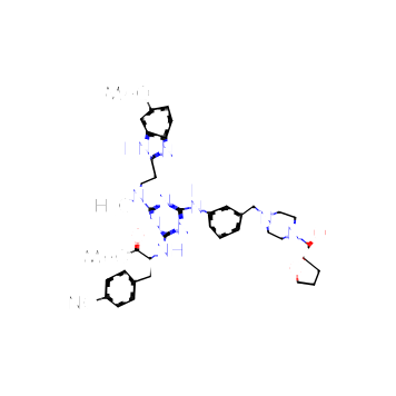 COC(=O)[C@H](Cc1ccc(C#N)cc1)Nc1nc(Nc2cccc(CN3CCN(C(=O)[C@@H]4CCCO4)CC3)c2)nc(N(C)CCc2nc3ccc(OC)cc3[nH]2)n1